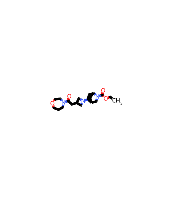 CCOC(=O)N1CC2CCC1CC2N1CC(CC(=O)N2CCCOCC2)C1